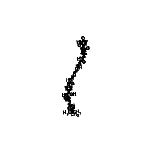 CC(C)(C)c1cnc(CSc2cnc(NC(O)C3CCN(CC(=O)NCCOCCOCCNCC(=O)NCc4cc5c(s4)C(=O)N(C4CCC(=O)NC4=O)C5)CC3)s2)o1